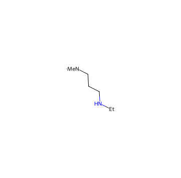 CCNCCC[N]C